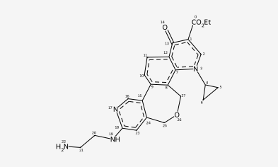 CCOC(=O)c1cn(C2CC2)c2c3c(ccc2c1=O)-c1cnc(NCCN)cc1COC3